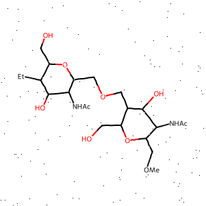 CCC1C(CO)OC(COCC2C(CO)OC(COC)C(NC(C)=O)C2O)C(NC(C)=O)C1O